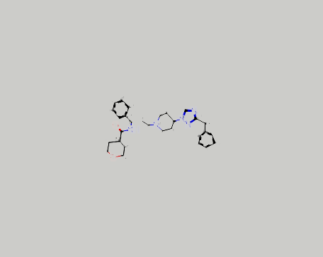 O=C(N[C@@H](CCN1CCC(n2cnc(Cc3ccccc3)n2)CC1)c1ccccc1)C1CCOCC1